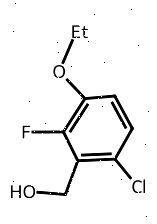 CCOc1ccc(Cl)c(CO)c1F